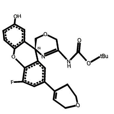 CC(C)(C)OC(=O)NC1=N[C@@]2(COC1)c1cc(O)ccc1Oc1c(F)cc(C3=CCOCC3)cc12